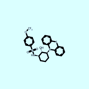 O=S(=O)(N[C@@H]1CCC[C@H](N2c3ccccc3Sc3ccccc32)[C@H]1O)c1ccc(OC(F)(F)F)cc1